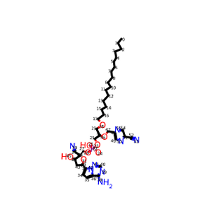 CCCCCCCCCCCCCCCCCCOCC(COP(=O)(O)OC[C@@]1(C#N)O[C@@H](c2ccc3c(N)ncnn23)C[C@@H]1O)OCc1cnc(C#N)cn1